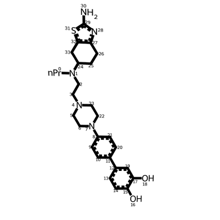 CCCN(CCN1CCN(c2ccc(-c3ccc(O)c(O)c3)cc2)CC1)C1CCc2nc(N)sc2C1